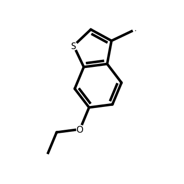 [CH2]c1csc2cc(OCC)ccc12